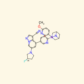 COc1ccc(CN2C3CC2CN(c2ccc(-c4cc(N5CC[C@@H](F)C5)cn5ncc(C#N)c45)cn2)C3)cn1